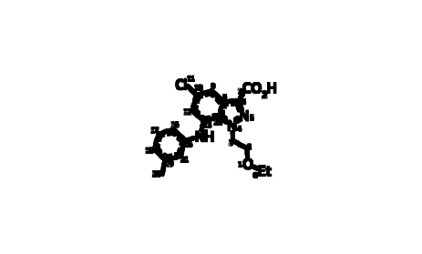 CCOCCn1nc(C(=O)O)c2cc(Cl)cc(Nc3cccc(C)c3)c21